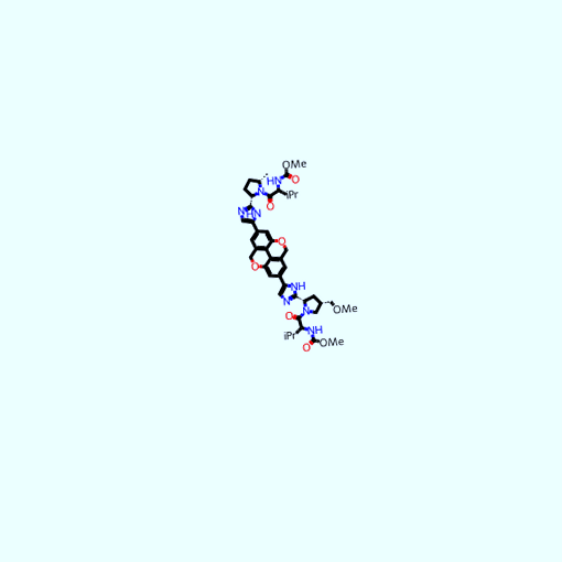 COC[C@H]1C[C@@H](c2ncc(-c3cc4c5c(c3)OCc3cc(-c6cnc([C@@H]7CC[C@H](C)N7C(=O)C(NC(=O)OC)C(C)C)[nH]6)cc(c3-5)OC4)[nH]2)N(C(=O)C(NC(=O)OC)C(C)C)C1